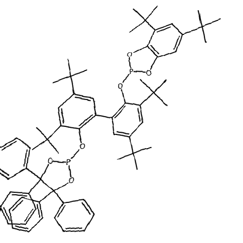 CC(C)(C)c1cc2c(c(C(C)(C)C)c1)OP(Oc1c(-c3cc(C(C)(C)C)cc(C(C)(C)C)c3OP3OC(c4ccccc4)(c4ccccc4)C(c4ccccc4)(c4ccccc4)O3)cc(C(C)(C)C)cc1C(C)(C)C)O2